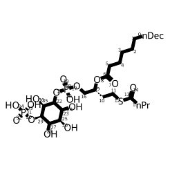 CCCCCCCCCCCCCCCC(=O)O[C@H](CCSC(=O)CCC)COP(=O)(O)OC1C(O)[C@@H](O)C(O)[C@@H](OP(=O)(O)O)[C@H]1O